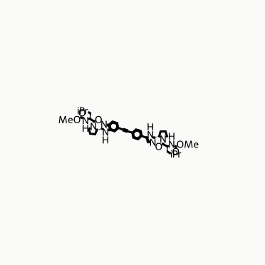 COC(=O)N[C@@H](CC(C)C)C(=O)N1CCC[C@H]1c1ncc(-c2ccc(C#Cc3ccc4nc([C@@H]5CCCN5C(=O)[C@H](CC(C)C)NC(=O)OC)[nH]c4c3)cc2)[nH]1